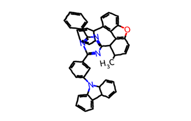 CC1C=Cc2oc3cccc(C4C=CC=CC4)c3c2C1c1nc(-c2ccccc2)nc(-c2cccc(N3c4ccccc4C4C=CC=CC43)c2)n1